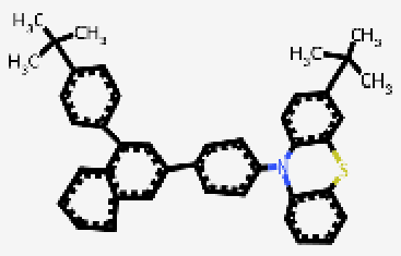 CC(C)(C)c1ccc(-c2cc(-c3ccc(N4c5ccccc5Sc5cc(C(C)(C)C)ccc54)cc3)cc3ccccc23)cc1